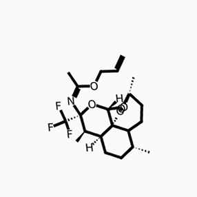 C=CCO/C(C)=N\[C@@]1(C(F)(F)F)O[C@@H]2O[C@]3(C)CCC4[C@H](C)CC[C@@H]([C@H]1C)[C@]42OO3